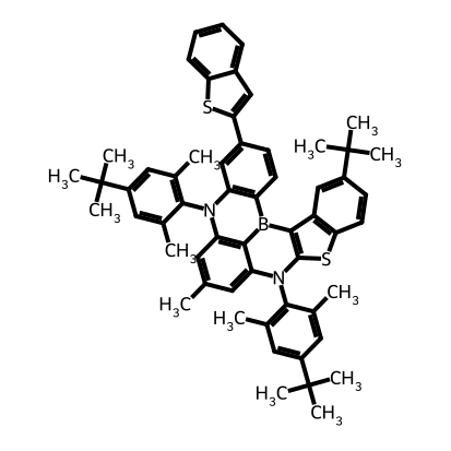 Cc1cc2c3c(c1)N(c1c(C)cc(C(C)(C)C)cc1C)c1sc4ccc(C(C)(C)C)cc4c1B3c1ccc(-c3cc4ccccc4s3)cc1N2c1c(C)cc(C(C)(C)C)cc1C